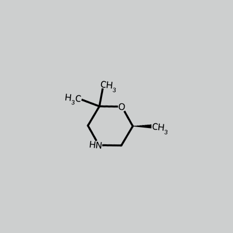 C[C@H]1CNCC(C)(C)O1